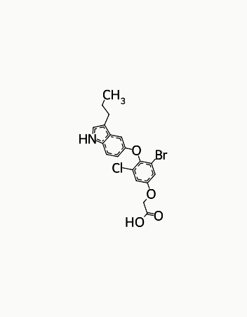 CCCc1c[nH]c2ccc(Oc3c(Cl)cc(OCC(=O)O)cc3Br)cc12